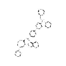 O=P(Cc1ccccc1)(c1ccccc1)c1ccc(-c2ccc(-c3nc4c(c5nc6ccccc6n35)C=C(c3ccccc3)CC=C4)cc2)cc1